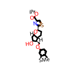 CSc1cc(OC[C@@H]2[C@H]3CC[C@H](c4nc(C(=O)OC(C)C)cs4)O[C@H]3C[C@@H]2O)ccc1C